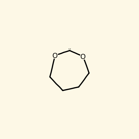 [C]1OCCCCO1